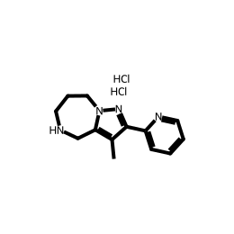 Cc1c(-c2ccccn2)nn2c1CNCCC2.Cl.Cl